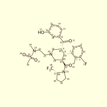 Cc1c(F)cccc1[C@H]1[C@@H](C(=O)c2cccc(O)c2)CN(CCN(C)S(C)(=O)=O)C[C@@H]1C(=O)N1CCC[C@@H]1C(F)(F)F